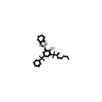 C=C(/C=C\C=C/C)C(C)(C)c1cc(C(C)(C)c2ccccc2)cc(-n2nc3ccccc3n2)c1O